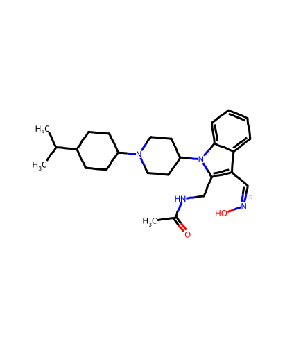 CC(=O)NCc1c(/C=N\O)c2ccccc2n1C1CCN(C2CCC(C(C)C)CC2)CC1